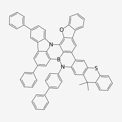 CC1(C)c2ccccc2Sc2cc3c(cc21)N(c1ccc(-c2ccccc2)cc1)B1c2c-3cc3c(oc4ccccc43)c2-n2c3ccc(-c4ccccc4)cc3c3cc(-c4ccccc4)cc1c32